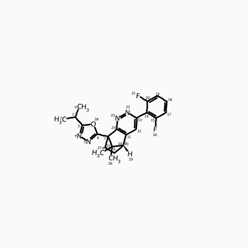 CC(C)c1nnc(C23CC[C@@H](c4cc(-c5c(F)cccc5F)nnc42)C3(C)C)o1